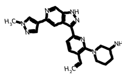 C=Cc1ccc(-c2n[nH]c3cnc(-c4cnn(C)c4)cc23)nc1N1CCCC(N)C1